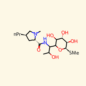 CCC[C@@H]1C[C@@H](C(=O)NC(C(C)O)C2O[C@H](SC)[C@H](O)[C@@H](O)C2O)N(C)C1